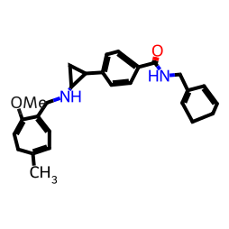 COC1=CCC(C)=CC=C1CNC1CC1c1ccc(C(=O)NCC2=CCCC=C2)cc1